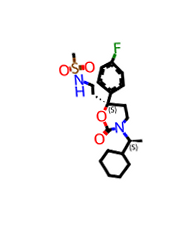 C[C@@H](C1CCCCC1)N1CC[C@](CCNS(C)(=O)=O)(c2ccc(F)cc2)OC1=O